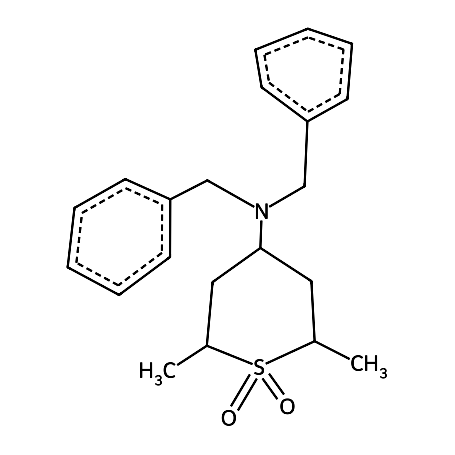 CC1CC(N(Cc2ccccc2)Cc2ccccc2)CC(C)S1(=O)=O